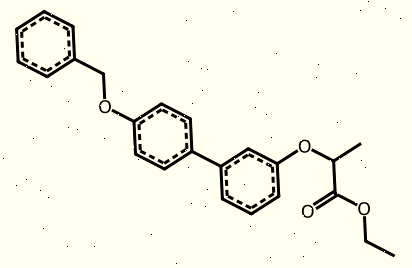 CCOC(=O)C(C)Oc1cccc(-c2ccc(OCc3ccccc3)cc2)c1